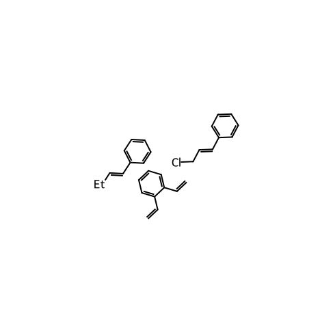 C=Cc1ccccc1C=C.CCC=Cc1ccccc1.ClCC=Cc1ccccc1